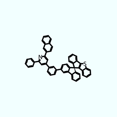 c1ccc(-c2cc(-c3cccc(-c4ccc5c(c4)-c4ccccc4[C@]54c5ccccc5-c5sc6ccccc6c54)c3)cc(-c3ccc4ccccc4c3)n2)cc1